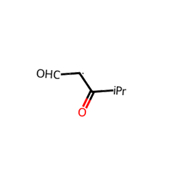 CC(C)C(=O)[CH]C=O